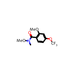 COc1cc(OC(F)(F)F)ccc1C(=O)N(C)OC